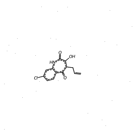 C=CCc1c(O)c(=O)[nH]c2cc(Cl)ccc2c1=O